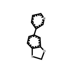 c1cncc(-c2ccc3c(c2)OCS3)c1